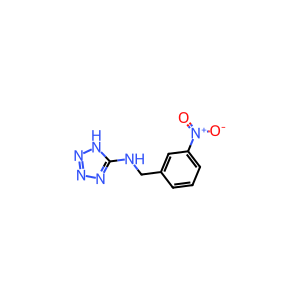 O=[N+]([O-])c1cccc(CNc2nnn[nH]2)c1